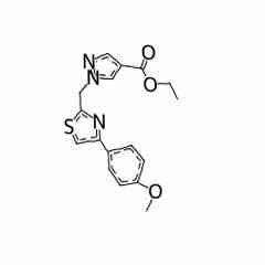 CCOC(=O)c1cnn(Cc2nc(-c3ccc(OC)cc3)cs2)c1